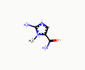 Cn1c(C(N)=O)cnc1N